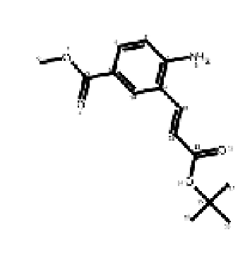 COC(=O)c1ccc(N)c(C=CC(=O)OC(C)(C)C)c1